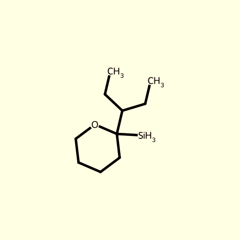 CCC(CC)C1([SiH3])CCCCO1